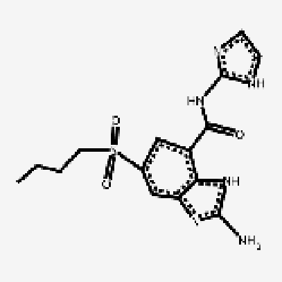 CCCCS(=O)(=O)c1cc(C(=O)Nc2ncc[nH]2)c2[nH]c(N)nc2c1